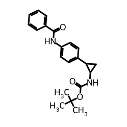 CC(C)(C)OC(=O)NC1CC1c1ccc(NC(=O)c2ccccc2)cc1